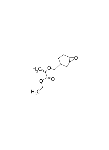 C=C(OCC1CCC2OC2C1)C(=O)OCC